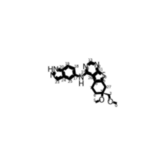 COC[C@@]1(OC)CCc2c(sc3ncnc(Nc4ccc5[nH]ncc5c4)c23)C1